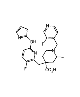 CC1CC(Cc2nc(Nc3nccs3)ccc2F)(C(=O)O)CCN1Cc1ccncc1F